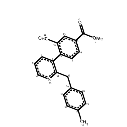 COC(=O)c1ccc(-c2cccnc2Cc2ccc(C)cc2)c(C=O)c1